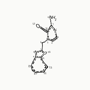 Nc1cc#cn(Cc2nc3ccccc3o2)c1=O